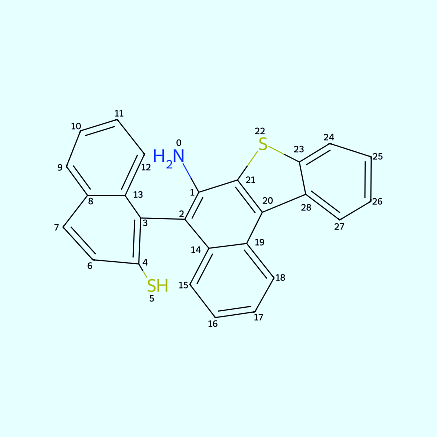 Nc1c(-c2c(S)ccc3ccccc23)c2ccccc2c2c1sc1ccccc12